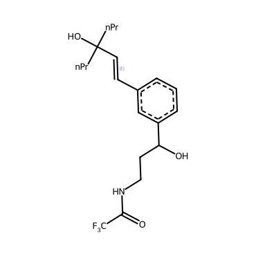 CCCC(O)(/C=C/c1cccc(C(O)CCNC(=O)C(F)(F)F)c1)CCC